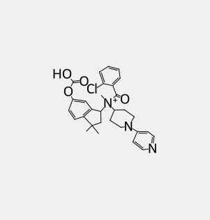 CC1(C)CC([N+](C)(C(=O)c2ccccc2Cl)C2CCN(c3ccncc3)CC2)c2cc(OC(=O)O)ccc21